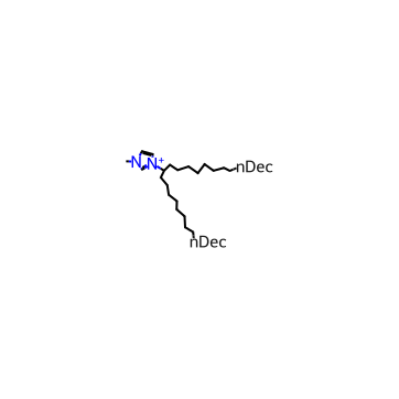 CCCCCCCCCCCCCCCCCCC(CCCCCCCCCCCCCCCCCC)[n+]1ccn(C)c1